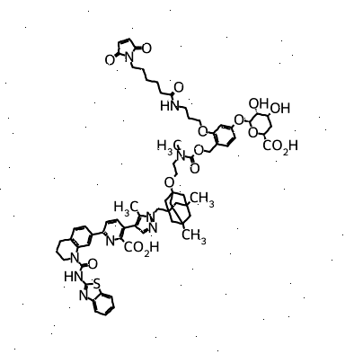 Cc1c(-c2ccc(-c3ccc4c(c3)N(C(=O)Nc3nc5ccccc5s3)CCC4)nc2C(=O)O)cnn1CC12CC3(C)CC(C)(C1)CC(OCCN(C)C(=O)OCc1ccc(O[C@@H]4O[C@H](C(=O)O)C[C@H](O)[C@H]4O)cc1OCCCNC(=O)CCCCCN1C(=O)C=CC1=O)(C3)C2